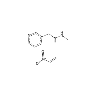 C=C[N+](=O)[O-].CNNCc1cccnc1